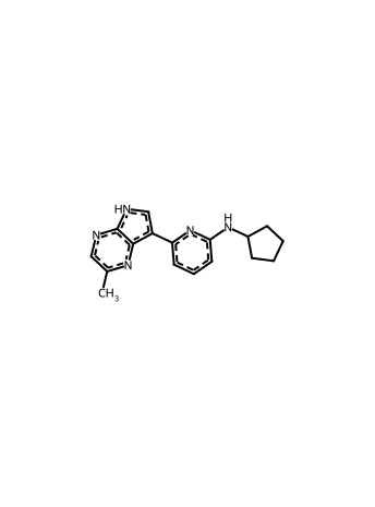 Cc1cnc2[nH]cc(-c3cccc(NC4CCCC4)n3)c2n1